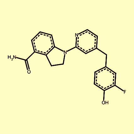 NC(=O)c1cccc2c1CCN2c1cc(Cc2ccc(O)c(F)c2)ccn1